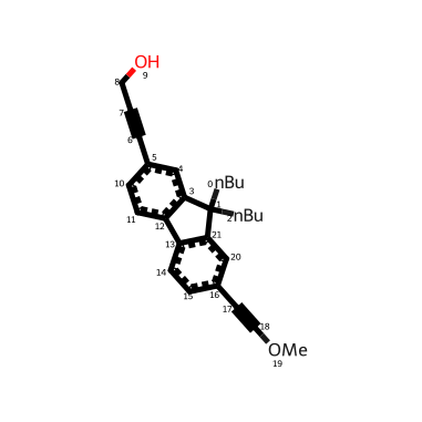 CCCCC1(CCCC)c2cc(C#CCO)ccc2-c2ccc(C#COC)cc21